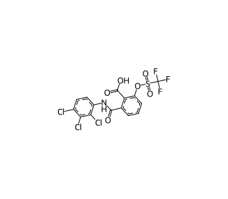 O=C(Nc1ccc(Cl)c(Cl)c1Cl)c1cccc(OS(=O)(=O)C(F)(F)F)c1C(=O)O